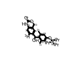 [2H]c1cc2c(cc1C(O)c1c(C)cc(O[Si](C(C)C)(C(C)C)C(C)C)cc1C)COC(=O)N2